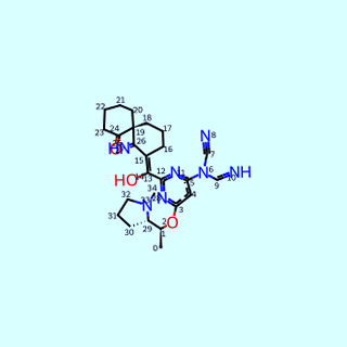 C[C@H](Oc1cc(N(C#N)C=N)nc(/C(O)=C2\CCC[C@@]3(CCCCC3=O)C2=N)n1)[C@@H]1CCCN1C